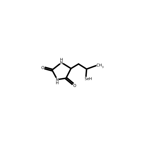 CC([SeH])CC1NC(=O)NC1=O